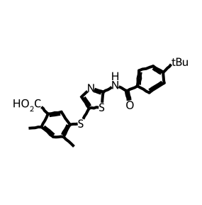 Cc1cc(C)c(C(=O)O)cc1Sc1cnc(NC(=O)c2ccc(C(C)(C)C)cc2)s1